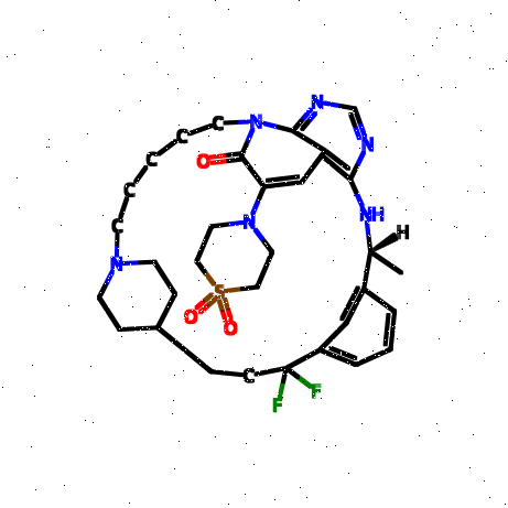 C[C@H]1Nc2ncnc3c2cc(N2CCS(=O)(=O)CC2)c(=O)n3CCCCCN2CCC(CC2)CCC(F)(F)c2cccc1c2